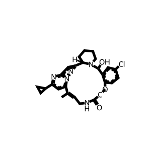 C/C1=C\CNC(=O)COc2ccc(Cl)cc2C(O)N2CCCC[C@H]2c2cc3nc(C4CC4)cc1n3n2